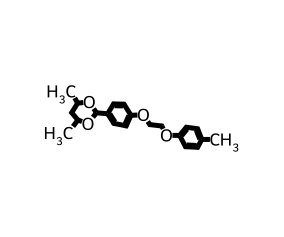 Cc1ccc(OCCOc2ccc(C3OC(C)CC(C)O3)cc2)cc1